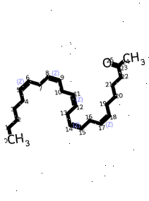 CCCCC/C=C\C/C=C\C/C=C\C/C=C\C/C=C\CCCCC(C)=O